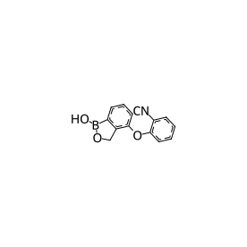 [C-]#[N+]c1ccccc1Oc1cccc2c1COB2O